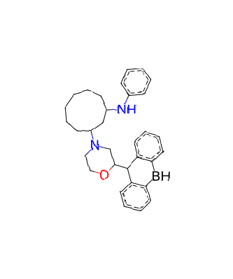 B1c2ccccc2C(C2CN(C3CCCCCCC(Nc4ccccc4)C3)CCO2)c2ccccc21